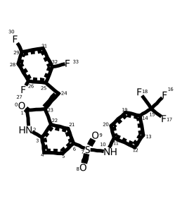 O=C1Nc2ccc(S(=O)(=O)Nc3ccc(C(F)(F)F)cc3)cc2C1=Cc1c(F)cc(F)cc1F